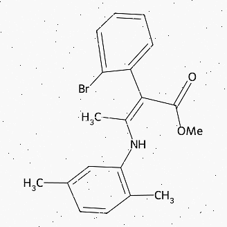 COC(=O)/C(=C(/C)Nc1cc(C)ccc1C)c1ccccc1Br